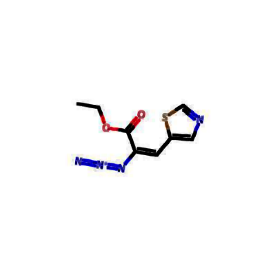 CCOC(=O)/C(=C\c1cncs1)N=[N+]=[N-]